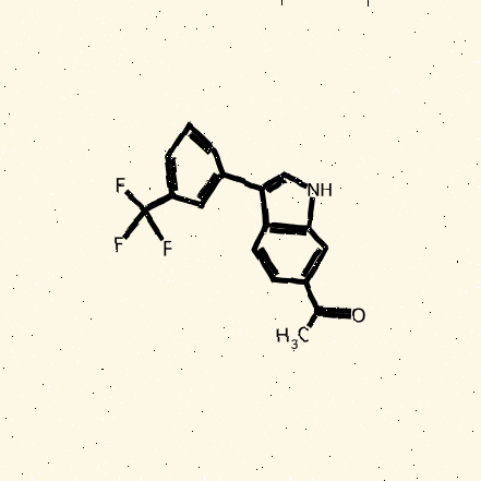 CC(=O)c1ccc2c(-c3cccc(C(F)(F)F)c3)c[nH]c2c1